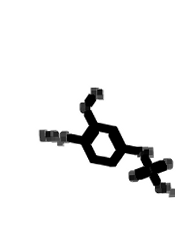 CCOC(=O)C1=C(OCC)C=C(NS(C)(=O)=O)CC1